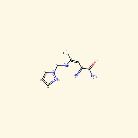 C/C(=C/C(=N)C(N)=O)NCn1cccn1